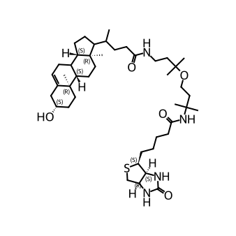 CC(CCC(=O)NCCC(C)(C)OCCC(C)(C)NC(=O)CCCC[C@@H]1SC[C@@H]2NC(=O)N[C@@H]21)C1CC[C@H]2C3CC=C4C[C@@H](O)CC[C@]4(C)[C@H]3CC[C@]12C